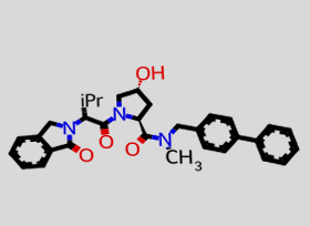 CC(C)C(C(=O)N1C[C@H](O)C[C@H]1C(=O)N(C)Cc1ccc(-c2ccccc2)cc1)N1Cc2ccccc2C1=O